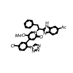 COc1cn(C(Cc2ccccc2)c2nc3ccc(C(C)=O)cc3[nH]2)c(=O)cc1-c1cc(Cl)ccc1-n1cnnn1